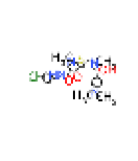 CN(Cc1cc2c(=O)c(C(=O)NCc3ccc(Cl)cc3)cn(C)c2s1)C[C@@H](O)c1ccc(N(C)C)cc1